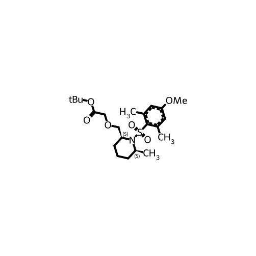 COc1cc(C)c(S(=O)(=O)N2[C@H](COCC(=O)OC(C)(C)C)CCC[C@@H]2C)c(C)c1